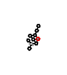 c1ccc(-c2ccc(-c3cc(-c4ccccc4)cc(-c4ccccc4-c4ccc(-c5ccccc5-c5nc(-c6ccccc6)nc(-c6ccccc6)n5)c(-c5ccccn5)c4)c3)cc2)cc1